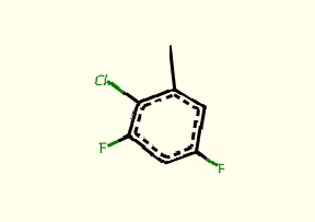 Cc1cc(F)cc(F)c1Cl